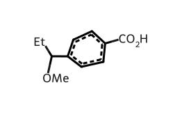 CCC(OC)c1ccc(C(=O)O)cc1